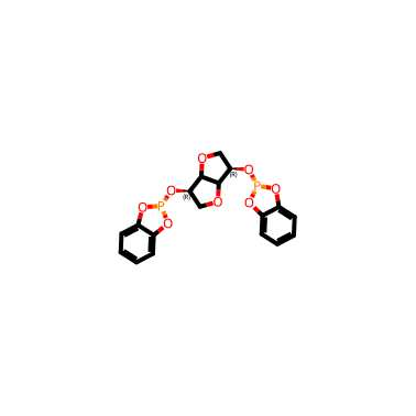 c1ccc2c(c1)OP(O[C@@H]1COC3C1OC[C@H]3OP1Oc3ccccc3O1)O2